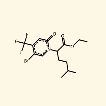 CCOC(=O)C(CCC(C)C)n1cc(Br)c(C(F)(F)F)cc1=O